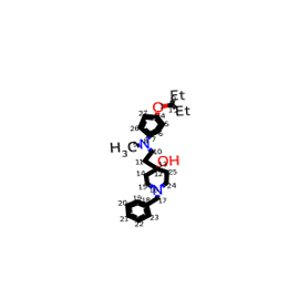 CCC(CC)Oc1ccc(N(C)CCC2(O)CCN(Cc3ccccc3)CC2)cc1